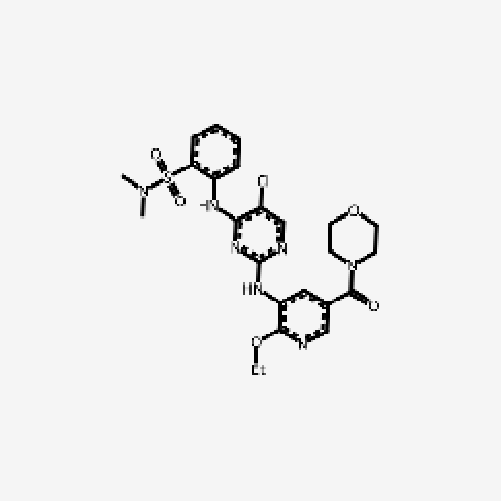 CCOc1ncc(C(=O)N2CCOCC2)cc1Nc1ncc(Cl)c(Nc2ccccc2S(=O)(=O)N(C)C)n1